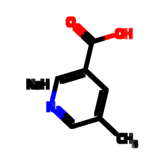 Cc1cncc(C(=O)O)c1.[NaH]